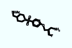 CC(=O)NCC1CCN(S(=O)(=O)c2ccc(OC/C(=C/F)CN)nc2)CC1